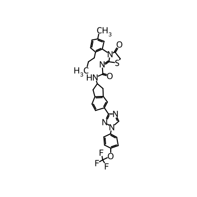 CCCc1ccc(C)cc1N1C(=O)CS/C1=N\C(=O)NC1Cc2ccc(-c3ncn(-c4ccc(OC(F)(F)F)cc4)n3)cc2C1